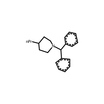 CCCC1CCN(C(c2ccccc2)c2ccccc2)CC1